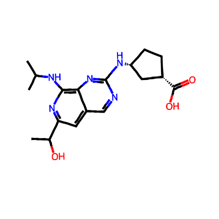 CC(C)Nc1nc(C(C)O)cc2cnc(N[C@@H]3CC[C@H](C(=O)O)C3)nc12